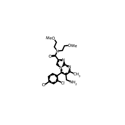 COCCN(CCOC)C(=O)c1cn2c(-c3ccc(Cl)cc3Cl)c(CN)c(C)nc2n1